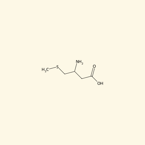 CSCC(N)CC(=O)O